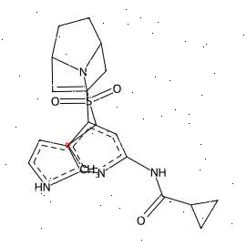 CCCS(=O)(=O)N1C2C=C(c3cc(NC(=O)C4CC4)nc4[nH]ccc34)CC1CC2